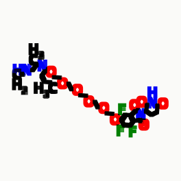 C=CNCC(C)/N=C(\C=C/CC)OCCOCCOCCOCCOCCOc1c(F)c(F)c2c(c1F)C(=O)N(C1CCC(=O)NC1=O)C2=O